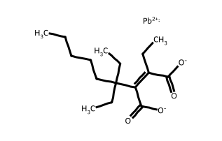 CCCCCC(CC)(CC)C(C(=O)[O-])=C(CC)C(=O)[O-].[Pb+2]